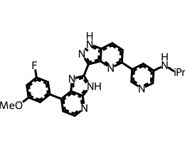 COc1cc(F)cc(-c2ccnc3[nH]c(-c4n[nH]c5ccc(-c6cncc(NC(C)C)c6)nc45)nc23)c1